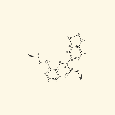 C=CCOc1ccccc1CN(C(=O)CCl)c1ccc2c(c1)OCO2